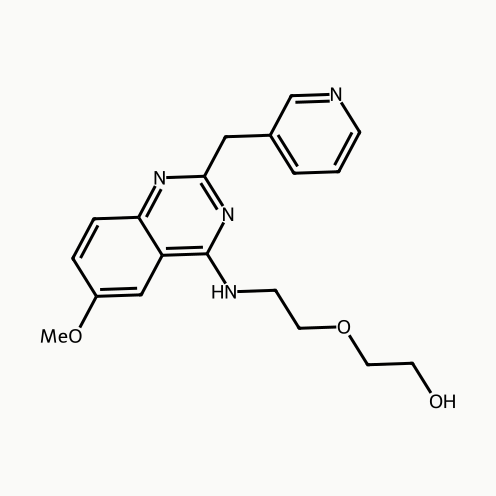 COc1ccc2nc(Cc3cccnc3)nc(NCCOCCO)c2c1